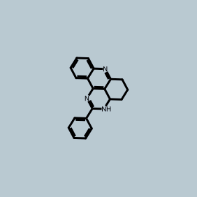 c1ccc(C2=Nc3c4c(nc5ccccc35)CCCC4N2)cc1